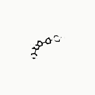 CC(C)N1CCN(c2ccc(-c3ccc4[nH]c(=O)c(-c5cncnc5)cc4c3)cc2)CC1